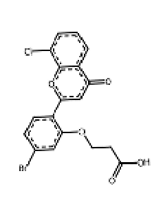 O=C(O)CCOc1cc(Br)ccc1-c1cc(=O)c2cccc(Cl)c2o1